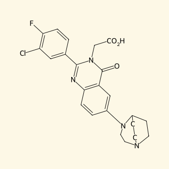 O=C(O)Cn1c(-c2ccc(F)c(Cl)c2)nc2ccc(N3CCN4CCC3CC4)cc2c1=O